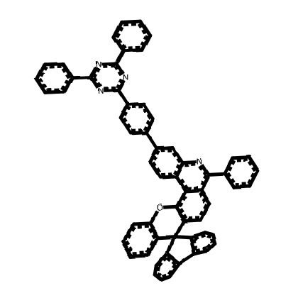 c1ccc(-c2nc(-c3ccccc3)nc(-c3ccc(-c4ccc5c(c4)nc(-c4ccccc4)c4ccc6c(c45)Oc4ccccc4C64c5ccccc5-c5ccccc54)cc3)n2)cc1